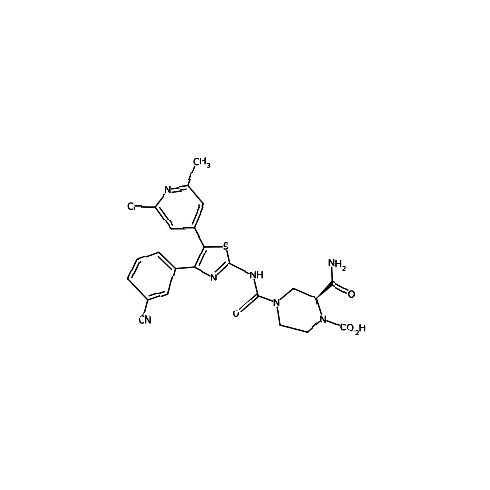 Cc1cc(-c2sc(NC(=O)N3CCN(C(=O)O)[C@H](C(N)=O)C3)nc2-c2cccc(C#N)c2)cc(Cl)n1